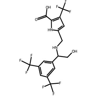 O=C(O)c1[nH]c(CNC(CO)c2cc(C(F)(F)F)cc(C(F)(F)F)c2)cc1C(F)(F)F